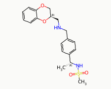 C[C@@H](NS(C)(=O)=O)c1ccc(CNC[C@@H]2COc3ccccc3O2)cc1